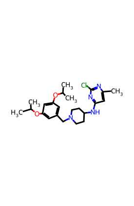 Cc1cc(NC2CCN(Cc3cc(OC(C)C)cc(OC(C)C)c3)CC2)nc(Cl)n1